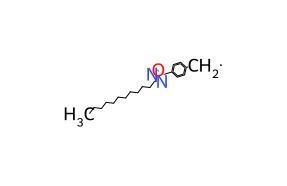 [CH2]c1ccc(-c2nc(CCCCCCCCCCC)no2)cc1